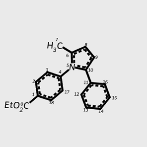 CCOC(=O)c1ccc(-n2c(C)ccc2-c2ccccc2)cc1